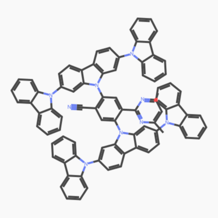 Cc1cc(C)nc(-c2cc(-n3c4cc(-n5c6ccccc6c6ccccc65)ccc4c4ccc(-n5c6ccccc6c6ccccc65)cc43)c(C#N)cc2-n2c3cc(-n4c5ccccc5c5ccccc54)ccc3c3ccc(-n4c5ccccc5c5ccccc54)cc32)n1